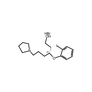 Br.OCC[C@@H](CCCN1CCCC1)Oc1ccccc1I